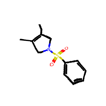 CC1=C(C)CN(S(=O)(=O)c2ccccc2)C1